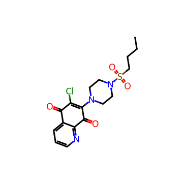 CCCCS(=O)(=O)N1CCN(C2=C(Cl)C(=O)c3cccnc3C2=O)CC1